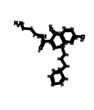 NCCCNC(=O)c1cn(CCCc2ccccc2)c2cc(Cl)ccc2c1=O